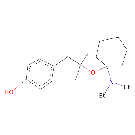 CCN(CC)C1(OC(C)(C)Cc2ccc(O)cc2)CCCCC1